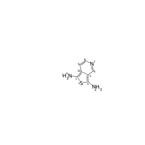 Nc1sc(N)c2cnccc12